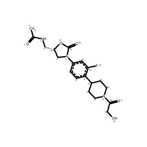 CC(=O)NC[C@H]1CN(c2ccc(C3CCN(C(=O)CO)CC3)c(F)c2)C(=O)O1